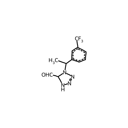 CC(c1cccc(C(F)(F)F)c1)N1N=NNC1C=O